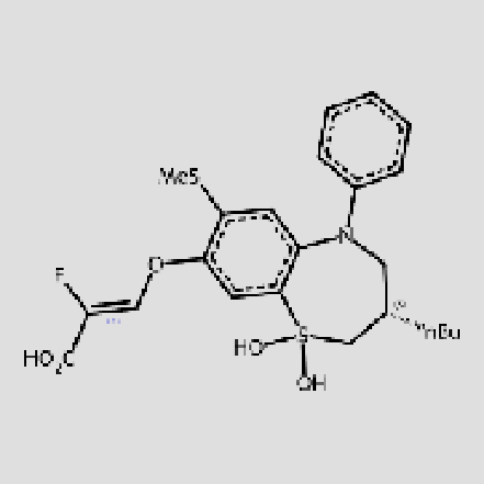 CCCC[C@H]1CN(c2ccccc2)c2cc(SC)c(O/C=C(\F)C(=O)O)cc2S(O)(O)C1